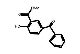 COC(=O)c1cc(C(=O)c2ccccc2)ccc1O